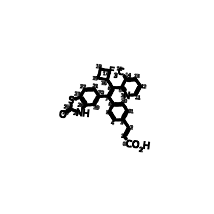 O=C(O)C=Cc1ccc(C(=C(c2ncccc2C(F)(F)F)C2CCC2)c2ccc3sc(=O)[nH]c3c2)cc1